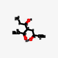 CC(C)COC(=O)CC(C(=O)CC(C)C)C(=O)OCC(C)C